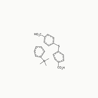 C[N+](C)(C)c1ccccc1.O=C(O)c1ccc(Sc2ccc(C(=O)O)cc2)cc1